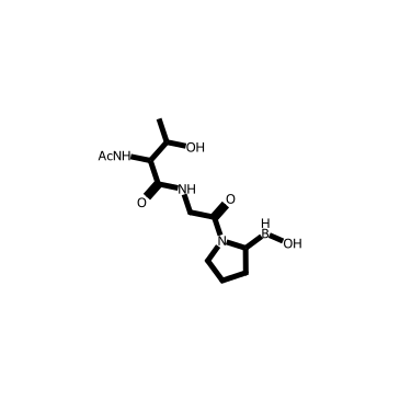 CC(=O)NC(C(=O)NCC(=O)N1CCCC1BO)C(C)O